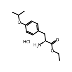 CCOC(=O)[C@@H](N)Cc1ccc(OC(C)C)cc1.Cl